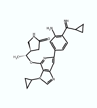 C[C@@H](Oc1nc(-c2ccc(C(=N)C3CC3)c(N)c2)cc2ncn(C3CC3)c12)[C@H]1CNC(=O)C1